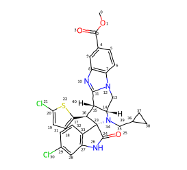 COC(=O)c1ccc2c(c1)nc1n2C[C@H]2[C@@H]1[C@H](c1ccc(Cl)s1)[C@]1(C(=O)Nc3cc(Cl)ccc31)N2CC1CC1